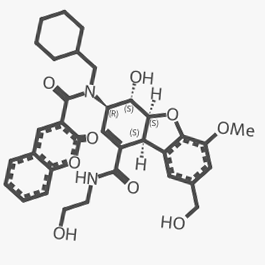 COc1cc(CO)cc2c1O[C@@H]1[C@@H](O)[C@H](N(CC3CCCCC3)C(=O)c3cc4ccccc4oc3=O)C=C(C(=O)NCCO)[C@H]21